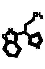 CCCC(c1noc2ccccc12)n1ccnc1